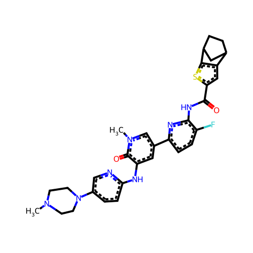 CN1CCN(c2ccc(Nc3cc(-c4ccc(F)c(NC(=O)c5cc6c(s5)C5CCC6C5)n4)cn(C)c3=O)nc2)CC1